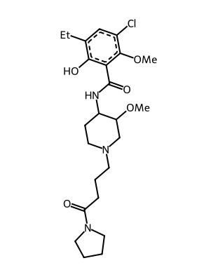 CCc1cc(Cl)c(OC)c(C(=O)NC2CCN(CCCC(=O)N3CCCC3)CC2OC)c1O